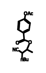 CCCCC(C#N)C(C)OC(=O)c1ccc(OC(C)=O)cc1